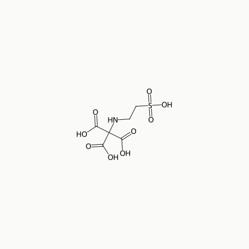 O=C(O)C(NCCS(=O)(=O)O)(C(=O)O)C(=O)O